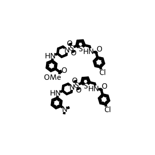 CN(C)c1cccc(NC2CCN(S(=O)(=O)c3ccc(CNC(=O)c4ccc(Cl)cc4)s3)CC2)c1.COC(=O)c1cccc(NC2CCN(S(=O)(=O)c3ccc(CNC(=O)c4ccc(Cl)cc4)s3)CC2)c1